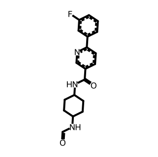 O=CNC1CCC(NC(=O)c2ccc(-c3cccc(F)c3)nc2)CC1